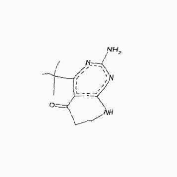 CC(C)(C)c1nc(N)nc2c1C(=O)CCN2